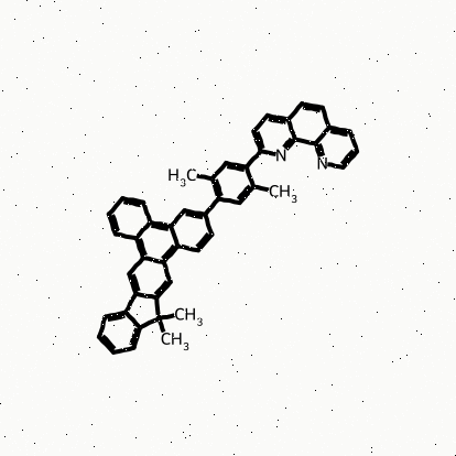 Cc1cc(-c2ccc3ccc4cccnc4c3n2)c(C)cc1-c1ccc2c(c1)c1ccccc1c1cc3c(cc21)C(C)(C)c1ccccc1-3